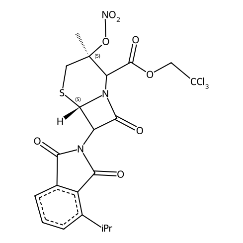 CC(C)c1cccc2c1C(=O)N(C1C(=O)N3C(C(=O)OCC(Cl)(Cl)Cl)[C@](C)(O[N+](=O)[O-])CS[C@@H]13)C2=O